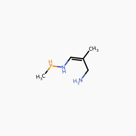 CPN/C=C(/C)CN